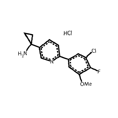 COc1cc(-c2ccc(C3(N)CC3)cn2)cc(Cl)c1F.Cl